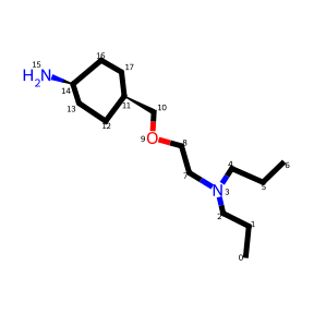 CCCN(CCC)CCOC[C@H]1CC[C@@H](N)CC1